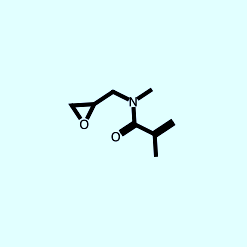 C=C(C)C(=O)N(C)CC1CO1